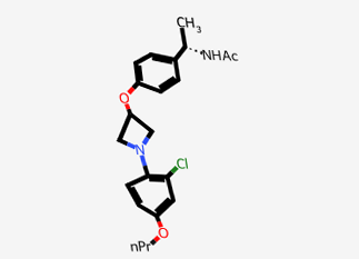 CCCOc1ccc(N2CC(Oc3ccc([C@H](C)NC(C)=O)cc3)C2)c(Cl)c1